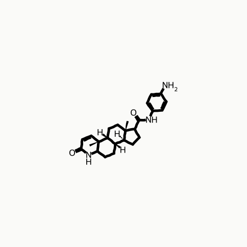 C[C@]12C=CC(=O)NC1CC[C@@H]1[C@H]2CC[C@]2(C)C(C(=O)Nc3ccc(N)cc3)CC[C@@H]12